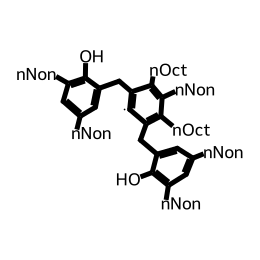 CCCCCCCCCc1cc(CCCCCCCCC)c(O)c(Cc2[c]c(Cc3cc(CCCCCCCCC)cc(CCCCCCCCC)c3O)c(CCCCCCCC)c(CCCCCCCCC)c2CCCCCCCC)c1